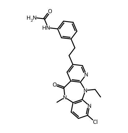 CCN1c2ncc(CCc3cccc(NC(N)=O)c3)cc2C(=O)N(C)c2ccc(Cl)nc21